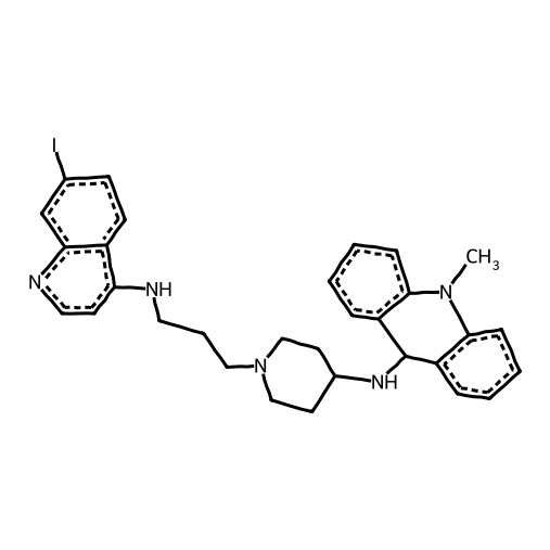 CN1c2ccccc2C(NC2CCN(CCCNc3ccnc4cc(I)ccc34)CC2)c2ccccc21